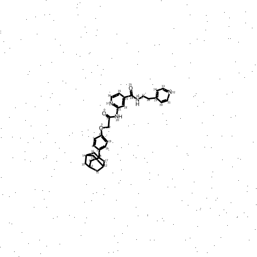 O=C(COc1ccc(C23CC4CC(CC(C4)C2)C3)cc1)Nc1cc(C(=O)NCCc2ccncc2)ccn1